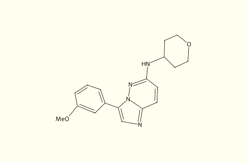 COc1cccc(-c2cnc3ccc(NC4CCOCC4)nn23)c1